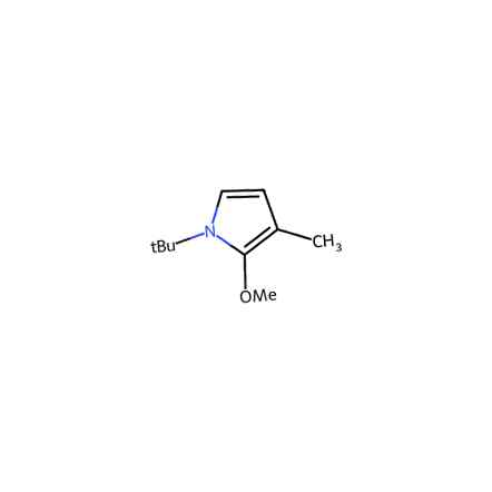 COc1c(C)ccn1C(C)(C)C